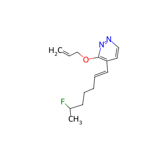 C=CCOc1nnccc1C=CCCCC(C)F